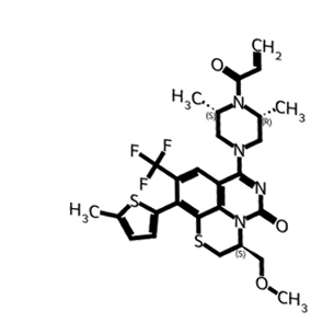 C=CC(=O)N1[C@H](C)CN(c2nc(=O)n3c4c(c(-c5ccc(C)s5)c(C(F)(F)F)cc24)SC[C@@H]3COC)C[C@@H]1C